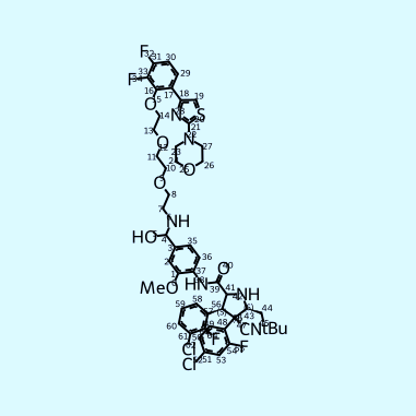 COc1cc(C(O)NCCOCCOCCOc2c(-c3csc(N4CCOCC4)n3)ccc(F)c2F)ccc1NC(=O)C1N[C@@H](CC(C)(C)C)[C@](C#N)(c2ccc(Cl)cc2F)[C@H]1c1cccc(Cl)c1F